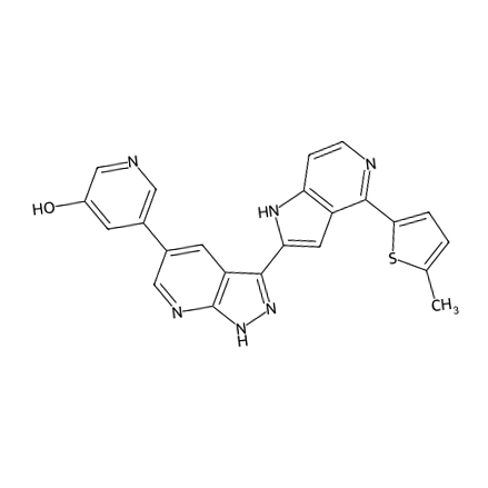 Cc1ccc(-c2nccc3[nH]c(-c4n[nH]c5ncc(-c6cncc(O)c6)cc45)cc23)s1